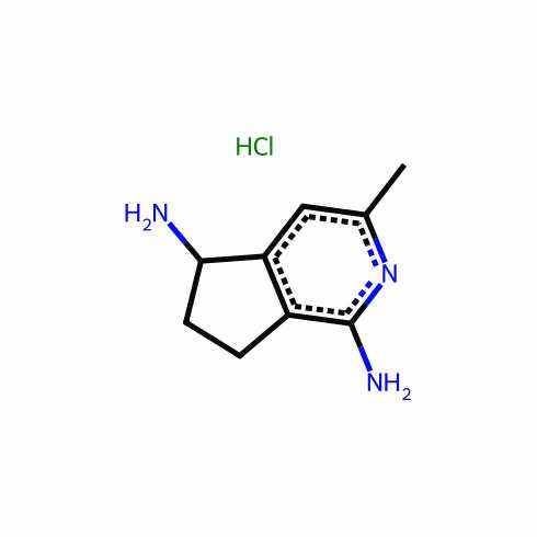 Cc1cc2c(c(N)n1)CCC2N.Cl